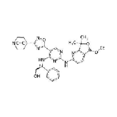 CCOB1OC(C)(C)c2nc(Nc3ncc(-c4nc(C56CCN(CC5)CC6)no4)c(N[C@H](CO)c4ccccc4)n3)ccc21